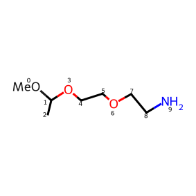 COC(C)OCCOCCN